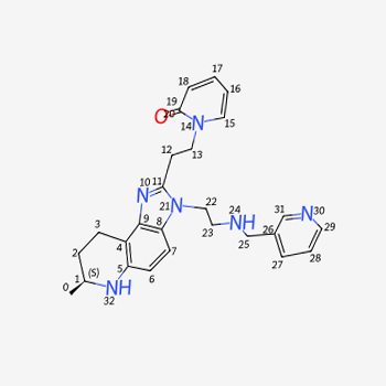 C[C@H]1CCc2c(ccc3c2nc(CCn2ccccc2=O)n3CCNCc2cccnc2)N1